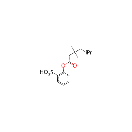 CC(C)CC(C)(C)CC(=O)Oc1ccccc1S(=O)(=O)O